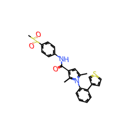 Cc1cc(C(=O)Nc2ccc(S(C)(=O)=O)cc2)c(C)n1-c1ccccc1-c1ccsc1